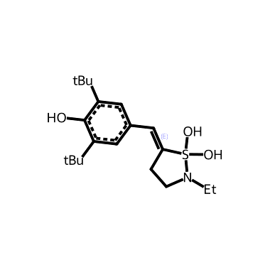 CCN1CC/C(=C\c2cc(C(C)(C)C)c(O)c(C(C)(C)C)c2)S1(O)O